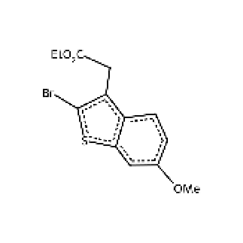 CCOC(=O)Cc1c(Br)sc2cc(OC)ccc12